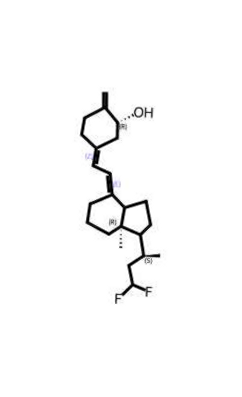 C=C1CC/C(=C/C=C2\CCC[C@@]3(C)C2CCC3[C@@H](C)CC(F)F)C[C@H]1O